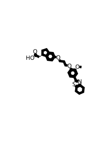 COc1cc(-c2nc3c(s2)CCCC3)ccc1OCCCOc1ccc2c(c1)CC[C@H]2CC(=O)O